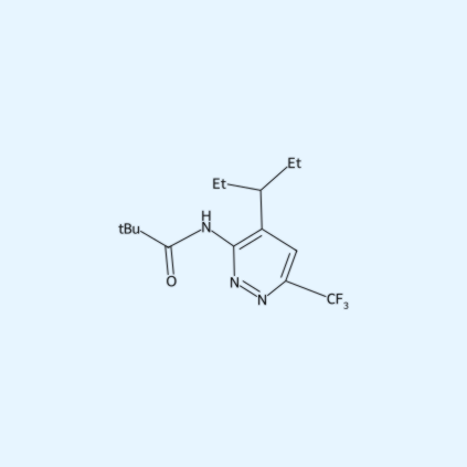 CCC(CC)c1cc(C(F)(F)F)nnc1NC(=O)C(C)(C)C